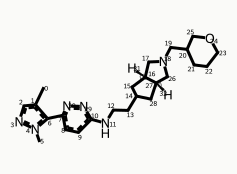 Cc1cnn(C)c1-c1ccc(NCCC2C[C@@H]3CN(CC4CCCOC4)C[C@@H]3C2)nn1